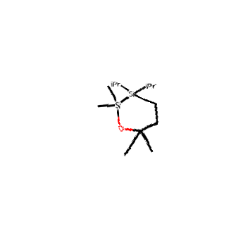 CC(C)[Si]1(C(C)C)CCC(C)(C)O[Si]1(C)C